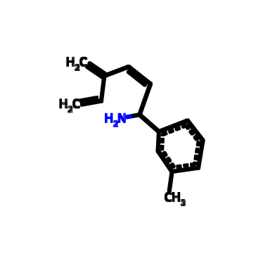 C=CC(=C)/C=C\C(N)c1cccc(C)c1